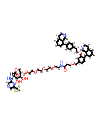 O=C(CCOCc1ccc(-c2cccc3ccncc23)c(OCCc2ccc(-c3cccc4ccncc34)cc2)c1)NCCOCCOCCOCCOC[C@@]12CO[C@@H](O1)[C@H](Nc1cncc(C(F)(F)F)n1)[C@@H](O)[C@H]2O